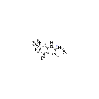 CS/C(=N\C#N)Nc1cc(Br)cc(S(F)(F)(F)(F)F)c1